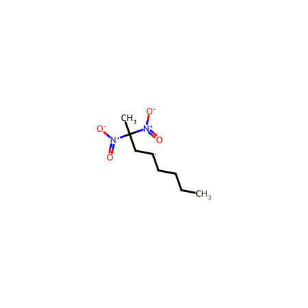 CCCC[CH]CC(C)([N+](=O)[O-])[N+](=O)[O-]